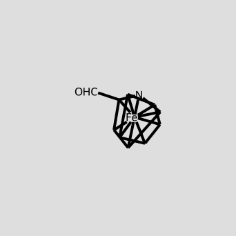 O=C[C]12[CH]3[CH]4[CH]5[N]1[Fe]45321678[CH]2[CH]1[CH]6[CH]7[CH]28